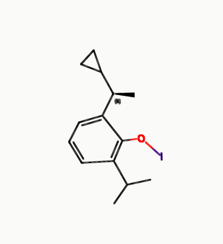 CC(C)c1cccc([C@H](C)C2CC2)c1OI